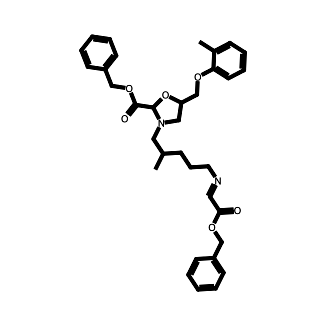 Cc1ccccc1OCC1CN(CC(C)CCC/N=C/C(=O)OCc2ccccc2)C(C(=O)OCc2ccccc2)O1